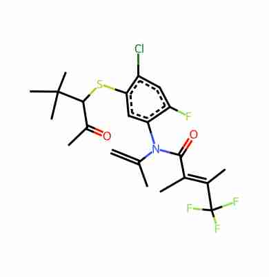 C=C(C)N(C(=O)/C(C)=C(\C)C(F)(F)F)c1cc(SC(C(C)=O)C(C)(C)C)c(Cl)cc1F